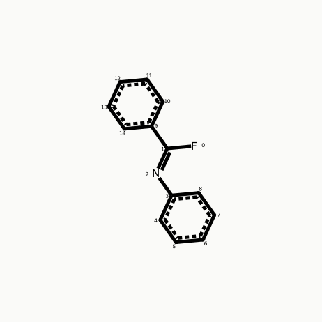 FC(=Nc1ccccc1)c1ccccc1